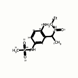 CCO[PH](=O)C(C)c1cc(NS(C)(=O)=O)ccc1N